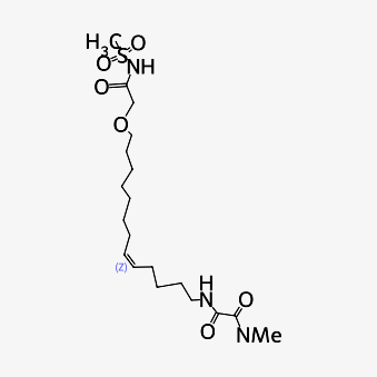 CNC(=O)C(=O)NCCCC/C=C\CCCCCCCOCC(=O)NS(C)(=O)=O